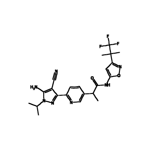 CC(C(=O)Nc1cc(C(C)(C)C(F)(F)F)no1)c1ccc(-c2nn(C(C)C)c(N)c2C#N)nc1